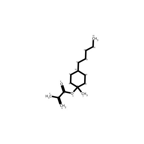 C=C(C)C(=O)OC1(C)CCC(CCCCC)CC1